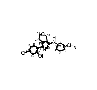 CN1CCC[C@@H](Nc2nnc(-c3ccc(Cl)cc3O)c3c2COCC3)C1